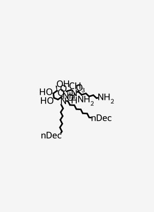 CCCCCCCCCCCCCCCCCCN(C(=O)CCCCCCCCCCCCCCCCC)[C@@]1(NC(=O)[C@H](C)NC(=O)[C@@H](N)CCCCN)C[C@@H](O)[C@H](O)[C@@H](CO)O1